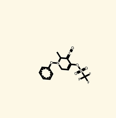 CC1C(=C=O)C(OS(=O)(=O)C(F)(F)F)=CCN1Oc1ccccc1